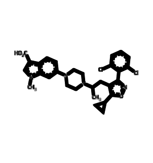 CC(Cc1c(-c2c(Cl)cccc2Cl)noc1C1CC1)N1CCN(c2ccc3c(C(=O)O)cn(C)c3c2)CC1